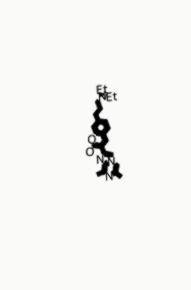 CCN(CC)CCCc1ccc2cc(-c3cn4cc(C)nc(C)c4n3)c(=O)oc2c1